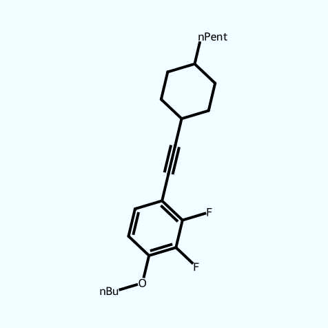 CCCCCC1CCC(C#Cc2ccc(OCCCC)c(F)c2F)CC1